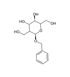 OCC1C(O)[C@@H](O)C(CO)O[C@H]1OCc1ccccc1